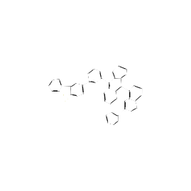 c1ccc(-c2ccc3cccc(-c4c5ccccc5c(-c5cccc(-c6ccc7sc8ccccc8c7c6)c5)c5ccccc45)c3c2)cc1